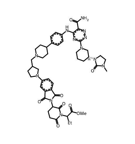 CCC(C(=O)OC)N1C(=O)CCC(N2C(=O)c3ccc(N4CCC(CN5CCC(c6ccc(Nc7nc(N8CCC[C@@H](N9CCN(C)C9=O)C8)nnc7C(N)=O)cc6)CC5)C4)cc3C2=O)C1=O